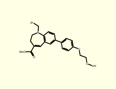 CCCOCCOc1ccc(-c2ccc3c(c2)C=C(C(=O)OC)CCN3CC(C)C)cc1